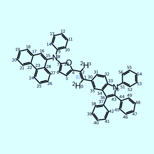 [2H]/C(=C(/[2H])c1ccc(N(c2ccccc2)c2cc3ccccc3c3ccccc23)o1)c1ccc2c(c1)c(-c1ccccc1)c(-c1ccccc1)n2-c1ccccc1